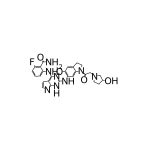 COc1cc2c(cc1Nc1nc(Nc3cccc(F)c3C(N)=O)c3ccnc-3[nH]1)N(C(=O)CN1CCC(O)C1)CC2